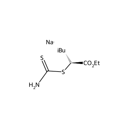 CCOC(=O)[C@@H](SC(N)=S)[C@@H](C)CC.[Na]